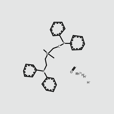 C[Si](C)(CCP(c1ccccc1)c1ccccc1)CCP(c1ccccc1)c1ccccc1.[C]=O.[H-].[H-].[H-].[Rh+3]